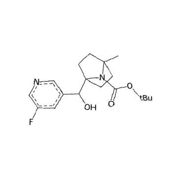 CC(C)(C)OC(=O)N1C2(C)CCC1(C(O)c1cncc(F)c1)CC2